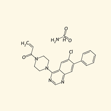 C=CC(=O)N1CCN(c2ncnc3cc(-c4ccccc4)c(Cl)cc23)CC1.N[SH](=O)=O